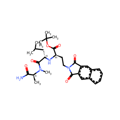 CC(C)C[C@H](N[C@H](CCN1C(=O)c2cc3ccccc3cc2C1=O)C(=O)OC(C)(C)C)C(=O)N(C)[C@@H](C)C(N)=O